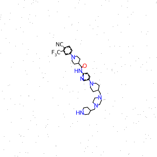 C[C@@H]1CN(CC2CCNCC2)CCN1CC1CCN(c2ccc(NC(=O)C3CCN(c4ccc(C#N)c(C(F)(F)F)c4)CC3)nc2)CC1